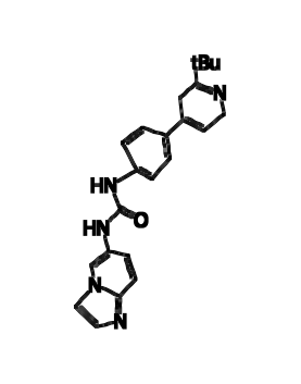 CC(C)(C)C1=NCC=C(c2ccc(NC(=O)Nc3ccc4nccn4c3)cc2)C1